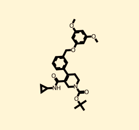 COc1cc(OC)cc(OCc2cccc(C3=C(C(=O)NC4CC4)CN(C(=O)OC(C)(C)C)CC3)c2)c1